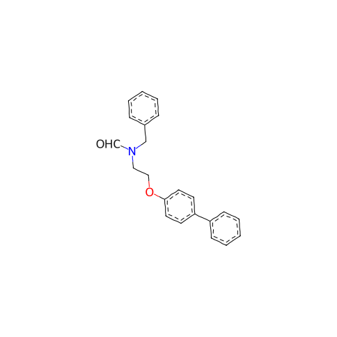 O=CN(CCOc1ccc(-c2ccccc2)cc1)Cc1ccccc1